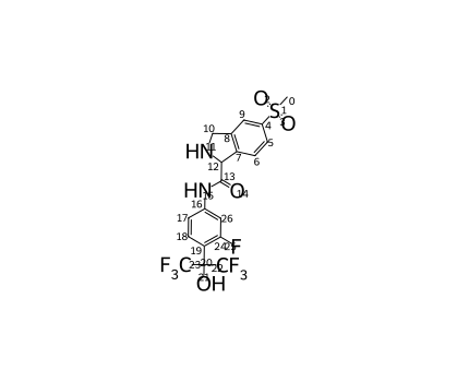 CS(=O)(=O)c1ccc2c(c1)CNC2C(=O)Nc1ccc(C(O)(C(F)(F)F)C(F)(F)F)c(F)c1